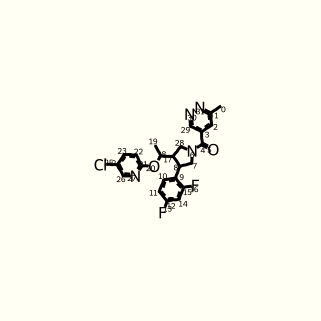 Cc1cc(C(=O)N2CC(c3ccc(F)cc3F)C(C(C)Oc3ccc(Cl)cn3)C2)cnn1